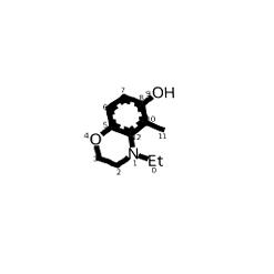 CCN1CCOc2ccc(O)c(C)c21